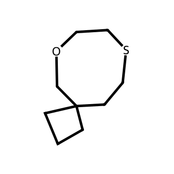 C1CC2(C1)CCSCCOC2